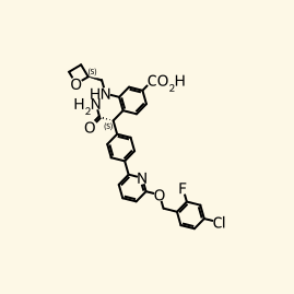 NC(=O)[C@@H](c1ccc(-c2cccc(OCc3ccc(Cl)cc3F)n2)cc1)c1ccc(C(=O)O)cc1NC[C@@H]1CCO1